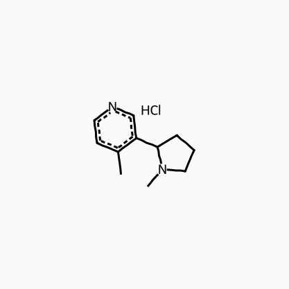 Cc1ccncc1C1CCCN1C.Cl